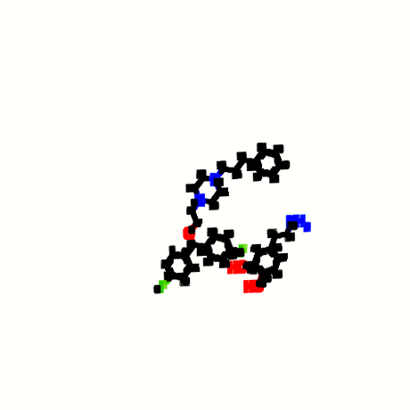 Fc1ccc(C(OCCN2CCN(CCCc3ccccc3)CC2)c2ccc(F)cc2)cc1.NCCc1ccc(O)c(O)c1